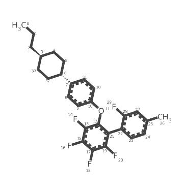 CCC[C@H]1CC[C@H](c2ccc(Oc3c(F)c(F)c(F)c(F)c3-c3ccc(C)cc3F)cc2)CC1